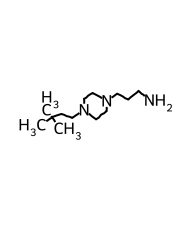 CC(C)(C)CCN1CCN(CCCN)CC1